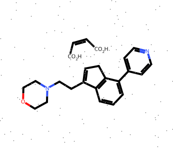 C1=C(CCN2CCOCC2)c2cccc(-c3ccncc3)c2C1.O=C(O)/C=C\C(=O)O